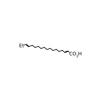 CCC=CCCCCCCCCCCCC=CC(=O)O